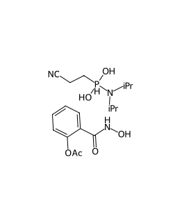 CC(=O)Oc1ccccc1C(=O)NO.CC(C)N(C(C)C)[PH](O)(O)CCC#N